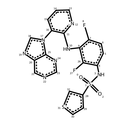 O=S(=O)(Nc1ccc(F)c(Nc2ncccc2-n2cnc3cncnc32)c1F)c1ccsc1